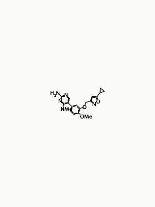 CNc1nc(N)ncc1-c1ccc(OC)c(OCc2cc(C3CC3)on2)c1